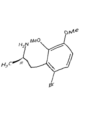 COc1ccc(Br)c(C[C@@H](C)N)c1OC